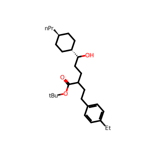 CCC[C@H]1CC[C@H](C(O)CCC(CCc2ccc(CC)cc2)C(=O)OC(C)(C)C)CC1